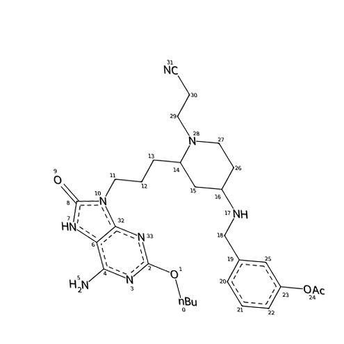 CCCCOc1nc(N)c2[nH]c(=O)n(CCCC3CC(NCc4cccc(OC(C)=O)c4)CCN3CCC#N)c2n1